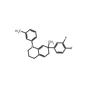 Cc1cccc(N2CCCC3=CCC(C)(c4ccc(F)c(F)c4)C=C32)c1